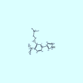 CN(C)CCOc1cc(-c2cn[nH]c2)ccc1[N+](=O)[O-]